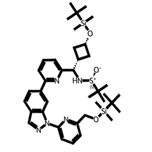 CC(C)(C)[S@@+]([O-])NC(c1cccc(-c2ccc3cnn(-c4cccc(CO[Si](C)(C)C(C)(C)C)n4)c3c2)n1)[C@H]1C[C@@H](O[Si](C)(C)C(C)(C)C)C1